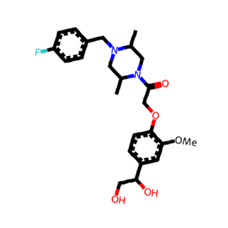 COc1cc(C(O)CO)ccc1OCC(=O)N1CC(C)N(Cc2ccc(F)cc2)CC1C